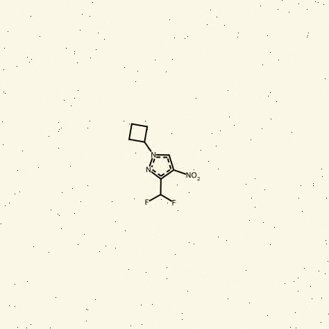 O=[N+]([O-])c1cn(C2C[CH]C2)nc1C(F)F